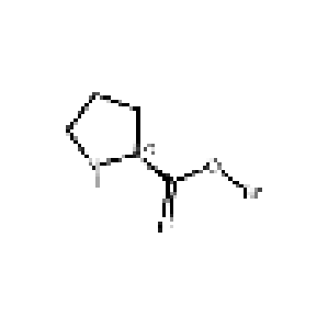 O=C(OBr)[C@@H]1CCCN1